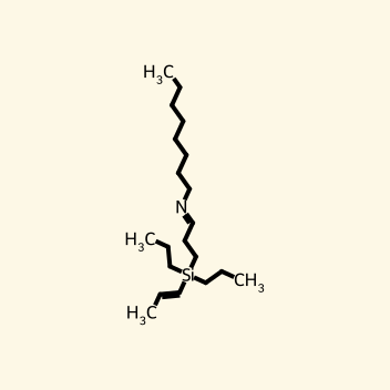 CC=C[Si](CCC)(CCC)CCC=NCCCCCCCC